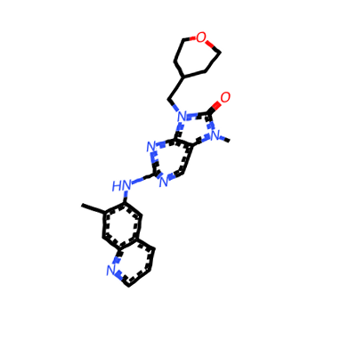 Cc1cc2ncccc2cc1Nc1ncc2c(n1)n(CC1CCOCC1)c(=O)n2C